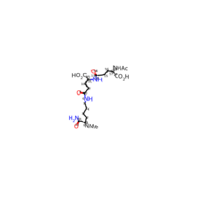 CN[C@@H](CCCCNC(=O)CC[C@H](NC(=O)CC[C@H](NC(C)=O)C(=O)O)C(=O)O)C(N)=O